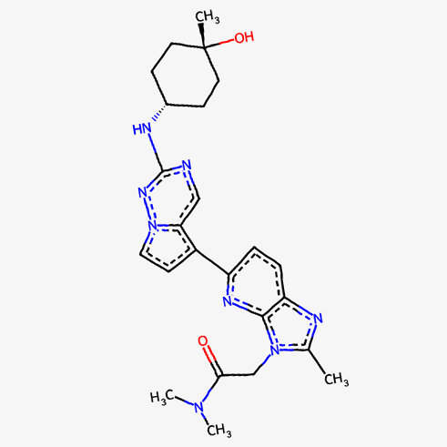 Cc1nc2ccc(-c3ccn4nc(N[C@H]5CC[C@@](C)(O)CC5)ncc34)nc2n1CC(=O)N(C)C